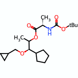 CC(OC(=O)[C@H](C)NC(=O)OC(C)(C)C)[C@H](OCC1CC1)C1CCCC1